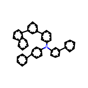 c1ccc(-c2ccc(N(c3cccc(-c4ccccc4)c3)c3cccc(-c4cccc(-c5cccc6ccccc56)c4)c3)cc2)cc1